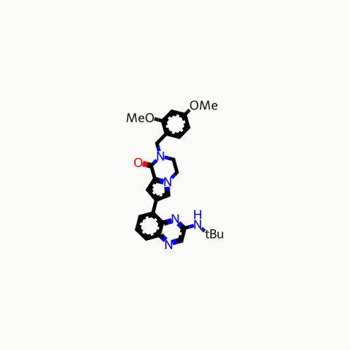 COc1ccc(CN2CCn3cc(-c4cccc5ncc(NC(C)(C)C)nc45)cc3C2=O)c(OC)c1